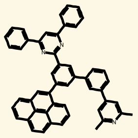 Cc1cc(-c2cccc(-c3cc(-c4nc(-c5ccccc5)cc(-c5ccccc5)n4)cc(-c4cc5cccc6ccc7cccc4c7c65)c3)c2)cc(C)n1